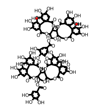 O=C(O[C@@H]1O[C@@H]2COC(=O)c3cc(O)c(O)c(O)c3-c3c(cc(O)c(O)c3O)C(=O)O[C@H]2[C@@H]2OC(=O)c3cc(O)c(O)c(O)c3-c3c(cc(O)c(O)c3O)C(=O)O[C@@H]12)c1cc(O)c(O)c(Oc2c(O)c(O)c(O)c3c2C(=O)O[C@H]2[C@@H]4OC(=O)c5cc(O)c(O)c(O)c5-c5c(cc(O)c(O)c5O)C(=O)O[C@H]4[C@H](OC(=O)c4cc(O)c(O)c(O)c4)O[C@@H]2COC(=O)c2cc(O)c(O)c(O)c2-3)c1